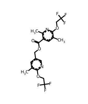 Cc1cc(COC(=O)c2cc(C)c(OCC(F)(F)F)nc2C)cnc1OCC(F)(F)F